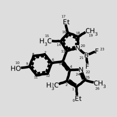 CCC1=C(C)/C(=C(\c2ccc(O)cc2)c2c(C)c(CC)c(C)n2B(F)F)N=C1C